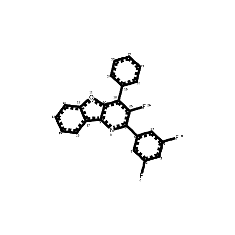 Fc1cc(F)cc(-c2nc3c(oc4ccccc43)c(-c3ccccc3)c2F)c1